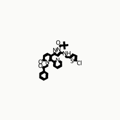 CC(C)(C)C(=O)n1nc(-c2ccc(=O)n(CC(=O)c3ccccc3)c2-c2ccccn2)cc1NCc1ccc(Cl)s1